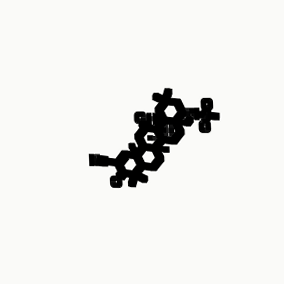 CC1(C)CC[C@]2(CNS(C)(=O)=O)CC[C@]3(C)[C@H](C(=O)CC4[C@@]5(C)C=C(C#N)C(=O)C(C)(C)C5CC[C@]43C)[C@@H]2C1